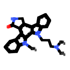 CN(C)CCCn1c2ccccc2c2c3c(c4c5ccccc5n(C)c4c21)C(=O)NC3